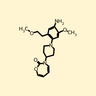 COCCc1cc(N)c(OC)cc1N1CCC(N2C=CC=COC2=O)CC1